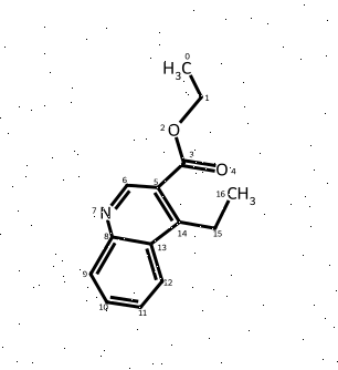 CCOC(=O)c1cnc2ccccc2c1CC